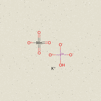 [K+].[O-][I+3]([O-])([O-])O.[O]=[Mn](=[O])(=[O])[O-]